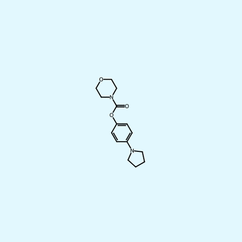 O=C(Oc1ccc(N2CCCC2)cc1)N1CCOCC1